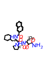 CC(C)C(NC(=O)[C@@H]1CCCN1C(=O)[C@@H](CC1CCCCC1)NC(=O)c1ccc2ccccc2c1)C(=O)C(N)=O